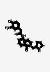 O=C(Cc1ccc(Cl)c(C(F)(F)F)c1)Nc1cccc2c(=O)n(CC3CCCN3)ccc12